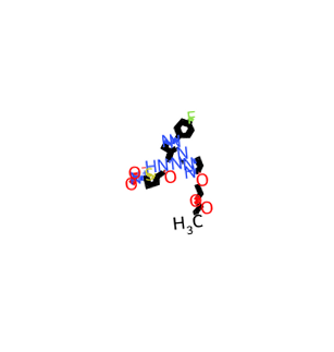 CCC(=O)OCCOc1ccn(-c2nc(NC(=O)c3ccc([N+](=O)[O-])s3)c3cnn(-c4ccc(F)cc4)c3n2)n1